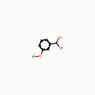 CC(C)Oc1cccc(C(O)C#N)c1